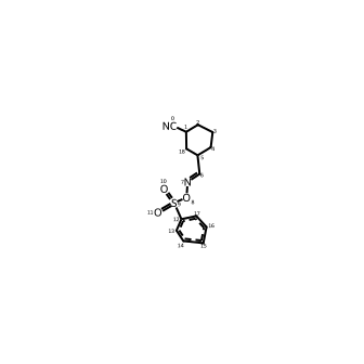 N#CC1CCCC(C=NOS(=O)(=O)c2ccccc2)C1